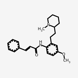 COc1ccc(NC(=O)C=Cc2ccccc2)c(CCC2CCCCN2C)c1